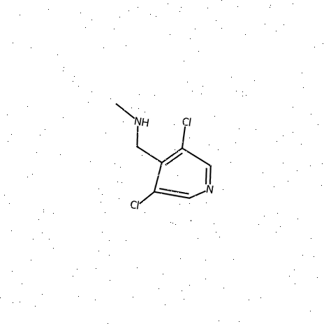 CNCc1c(Cl)cncc1Cl